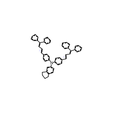 C(/C=C/c1ccc(N(c2ccc(/C=C/C=C(c3ccccc3)c3ccccc3)cc2)c2ccc3c(c2)CCCC3)cc1)=C(c1ccccc1)c1ccccc1